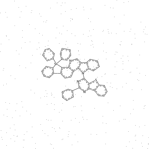 c1ccc(-c2nc(-n3c4ccccc4c4cnc5c6c(ccc5c43)-c3ccccc3[Si]6(c3ccccc3)c3ccccc3)c3sc4ccccc4c3n2)cc1